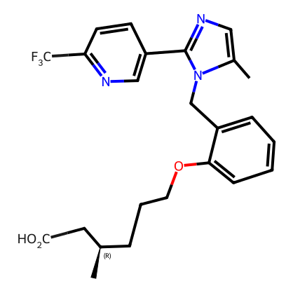 Cc1cnc(-c2ccc(C(F)(F)F)nc2)n1Cc1ccccc1OCCC[C@@H](C)CC(=O)O